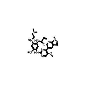 C=CC(=O)Nc1cc(Nc2ncc(OC)c(-c3cnc4c(cnn4C)c3)n2)c(OC)cc1N(C)CCN(C)C